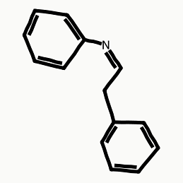 C(/Cc1ccccc1)=N/c1ccccc1